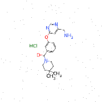 CC1(C)CCN(C(=O)c2cccc(Oc3cc(CN)ncn3)c2)CC1.Cl